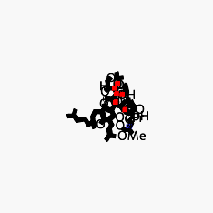 COC(=O)/C(C)=C\CC1(O)C(=O)C2CC(C(C)C)C13Oc1c(CC=C(C)C)c4c(c(O[C@@H]5O[C@@H]6COC(C)(C)O[C@H]6[C@H](O)[C@H]5O)c1C(=O)C3C2N1CCOCC1)C=CC(C)(CCC=C(C)C)O4